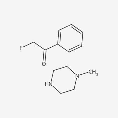 CN1CCNCC1.O=C(CF)c1ccccc1